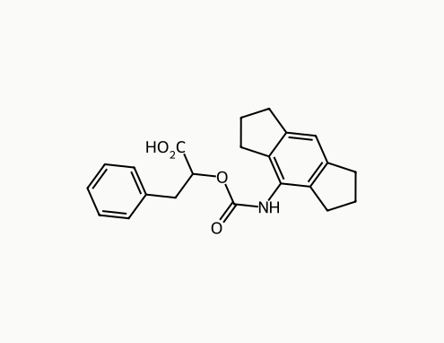 O=C(Nc1c2c(cc3c1CCC3)CCC2)OC(Cc1ccccc1)C(=O)O